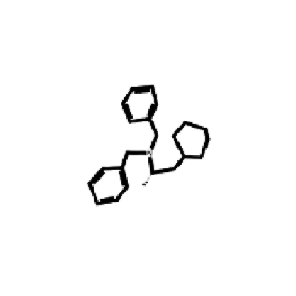 C[C@@H](CC1CCCCC1)N(Cc1ccccc1)Cc1ccccc1